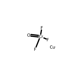 [Cu].[O]=[Cr]([F])([F])[F]